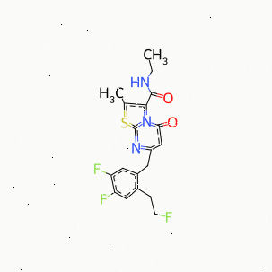 CCNC(=O)c1c(C)sc2nc(Cc3cc(F)c(F)cc3CCF)cc(=O)n12